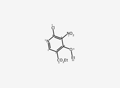 CCOC(=O)c1cnc(Cl)c([N+](=O)[O-])c1OCC